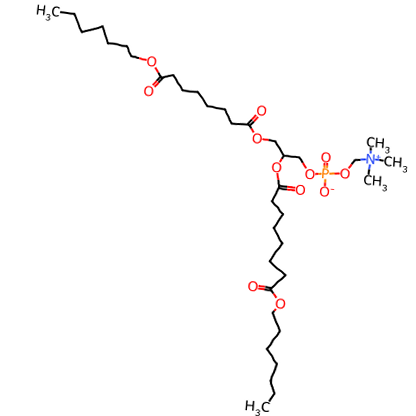 CCCCCCCOC(=O)CCCCCCC(=O)OCC(COP(=O)([O-])OC[N+](C)(C)C)OC(=O)CCCCCCC(=O)OCCCCCCC